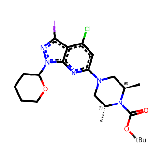 C[C@@H]1CN(c2cc(Cl)c3c(I)nn(C4CCCCO4)c3n2)C[C@@H](C)N1C(=O)OC(C)(C)C